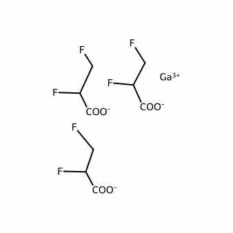 O=C([O-])C(F)CF.O=C([O-])C(F)CF.O=C([O-])C(F)CF.[Ga+3]